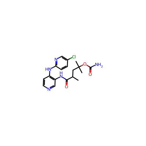 CC(CC(C)(C)OC(N)=O)C(=O)Nc1cnccc1Nc1ccc(Cl)cn1